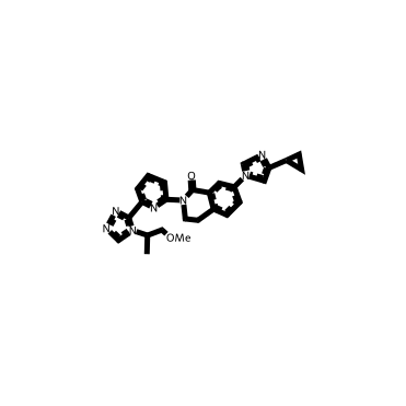 COCC(C)n1cnnc1-c1cccc(N2CCc3ccc(-n4cnc(C5CC5)c4)cc3C2=O)n1